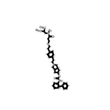 CCN(CC(OC)OC)C(=O)CCOCCc1ccc(CCN2CC3CC(OC(=O)Nc4ccccc4-c4ccccc4)CC3C2)cc1